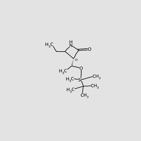 CCC1NC(=O)[C@@H]1C(C)O[Si](C)(C)C(C)(C)C